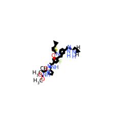 COC(=O)N[C@H](C(=O)N1CCC[C@H]1c1ncc(-c2cc(F)c3c(c2)OC(c2ccc(C4CC4)s2)n2c-3cc3cc(-c4cnc([C@@H]5C[C@H]6C[C@H]6N5)[nH]4)ccc32)[nH]1)C(C)C